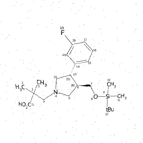 CC(C)(CN1C[C@H](CO[Si](C)(C)C(C)(C)C)[C@@H](c2cccc(F)c2)C1)C(=O)O